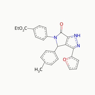 CCOC(=O)c1ccc(N2C(=O)c3[nH]nc(-c4ccco4)c3C2c2ccc(C)cc2)cc1